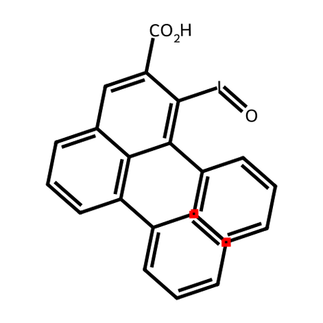 O=Ic1c(C(=O)O)cc2cccc(-c3ccccc3)c2c1-c1ccccc1